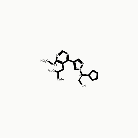 COC(Cc1c(NC(=O)O)ncnc1-c1cnn([C@H](CC#N)C2CCCC2)c1)OC